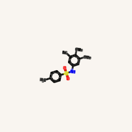 COc1cc(NS(=O)(=O)c2ccc(C)cc2)cc(C#N)c1OC